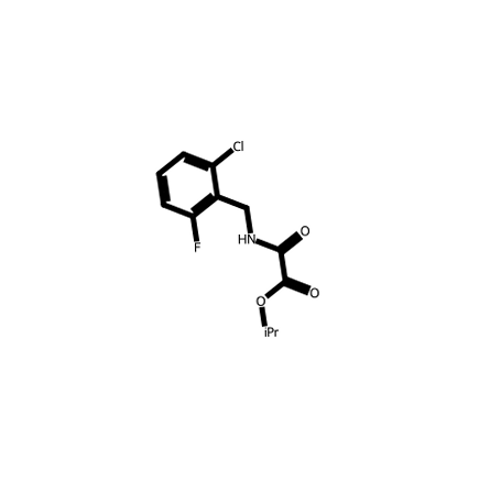 CC(C)OC(=O)C(=O)NCc1c(F)cccc1Cl